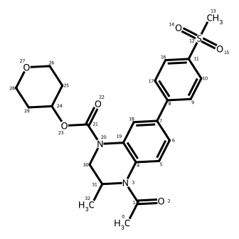 CC(=O)N1c2ccc(-c3ccc(S(C)(=O)=O)cc3)cc2N(C(=O)OC2CCOCC2)CC1C